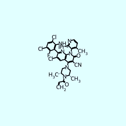 C=CC(=O)N1[C@H](C)CN(c2c(C#N)c(=O)n(-c3c(C)ccnc3C(C)C)c3nc(-c4c(N)c(Cl)cc(Cl)c4F)c(Cl)cc23)C[C@@H]1C